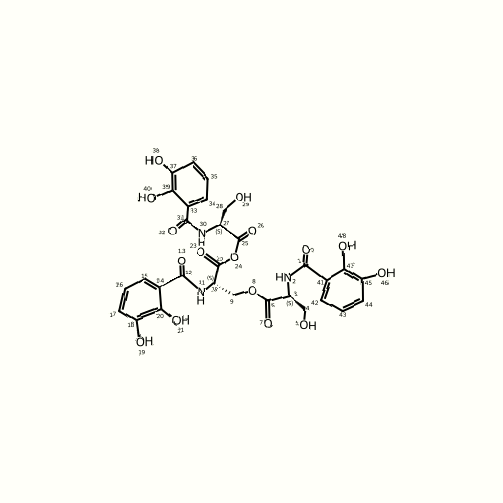 O=C(N[C@@H](CO)C(=O)OC[C@H](NC(=O)c1cccc(O)c1O)C(=O)OC(=O)[C@H](CO)NC(=O)c1cccc(O)c1O)c1cccc(O)c1O